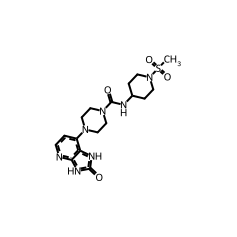 CS(=O)(=O)N1CCC(NC(=O)N2CCN(c3ccnc4[nH]c(=O)[nH]c34)CC2)CC1